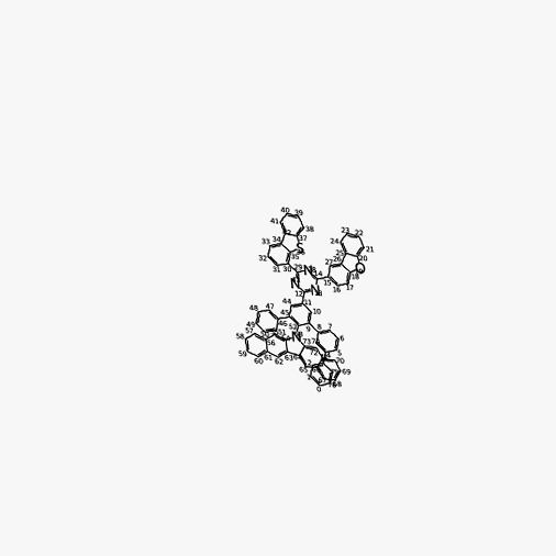 c1ccc(-c2cccc(-c3cc(-c4nc(-c5ccc6oc7ccccc7c6c5)nc(-c5cccc6c5sc5ccccc56)n4)cc(-c4ccccc4)c3-n3c4cc5ccccc5cc4c4cc5ccccc5cc43)c2)cc1